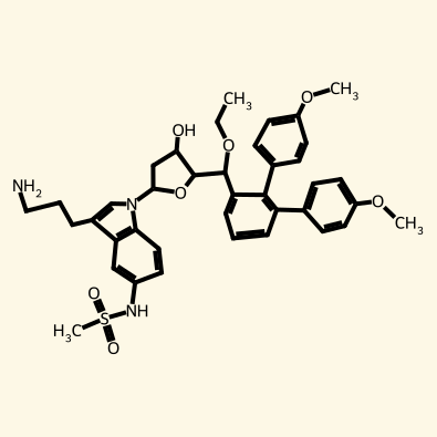 CCOC(c1cccc(-c2ccc(OC)cc2)c1-c1ccc(OC)cc1)C1OC(n2cc(CCCN)c3cc(NS(C)(=O)=O)ccc32)CC1O